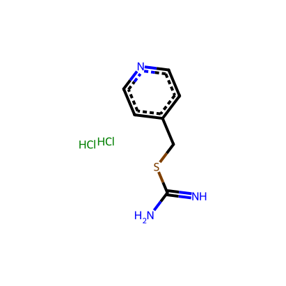 Cl.Cl.N=C(N)SCc1ccncc1